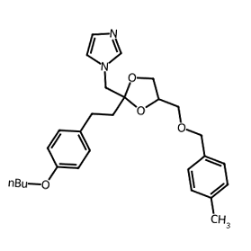 CCCCOc1ccc(CCC2(Cn3ccnc3)OCC(COCc3ccc(C)cc3)O2)cc1